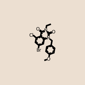 CCn1c(=O)c2c(Cl)cc(Br)cc2n(Cc2ccc(OC)cc2)c1=O